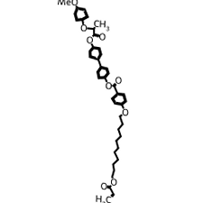 C=CC(=O)OCCCCCCCCCCCOc1ccc(C(=O)Oc2ccc(-c3ccc(OC(=O)C(C)Oc4ccc(OC)cc4)cc3)cc2)cc1